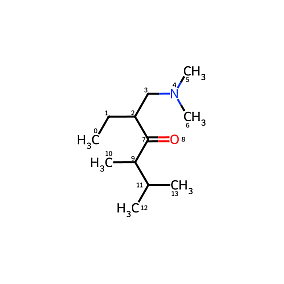 CCC(CN(C)C)C(=O)C(C)C(C)C